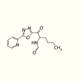 CCCCC(NC=O)C(=O)c1nnc(-c2ccccn2)o1